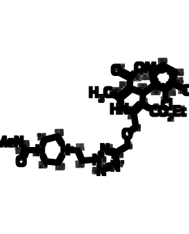 CCOC(=O)C1=C(COCc2nnn(CCN3CCN(C(=O)NC)CC3)n2)NC(C)=C(C(=O)OC)C1c1cccc(Cl)c1Cl